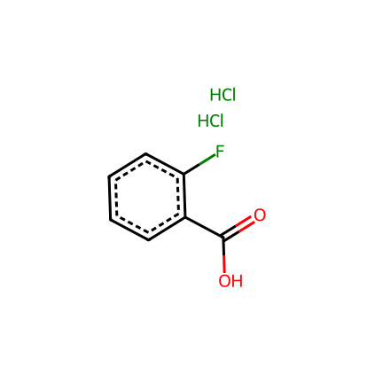 Cl.Cl.O=C(O)c1ccccc1F